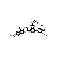 COc1nc2c(C(=O)Nc3cc4cn(C)nc4c(F)c3O)ccc(N3C[C@H](C)N[C@@H](C)C3)c2s1